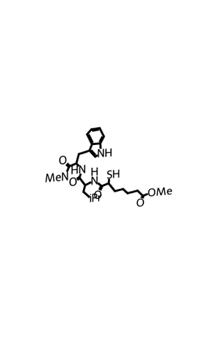 CNC(=O)C(Cc1c[nH]c2ccccc12)NC(=O)C(CC(C)C)NC(=O)C(S)CCCCC(=O)OC